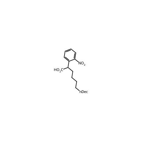 CCCCCCCCCCCCCCC(C(=O)O)c1ccccc1[N+](=O)[O-]